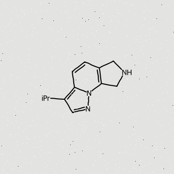 CC(C)c1cnn2c3c(ccc12)CNC3